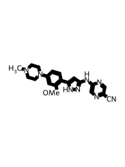 COc1cc(N2CCN(C)CC2)ccc1-c1cc(Nc2cnc(C#N)cn2)n[nH]1